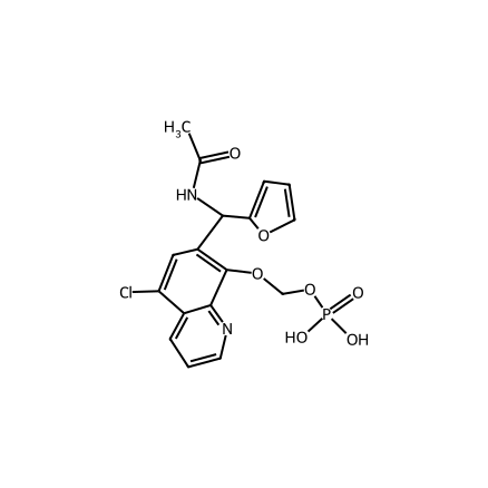 CC(=O)NC(c1ccco1)c1cc(Cl)c2cccnc2c1OCOP(=O)(O)O